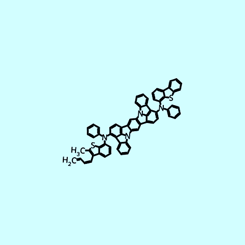 C=C/C=C\c1c(C)sc2c(N(c3ccccc3)c3ccc4c5cc6c(cc5n5c7ccccc7c3c45)c3ccc(N(c4ccccc4)c4cccc5c4sc4ccccc45)c4c5ccccc5n6c34)cccc12